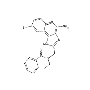 CCN(Cc1nc2c(N)nc3ccc(Br)cc3c2[nH]1)C(=O)c1ccccc1